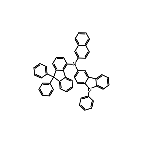 c1ccc(-n2c3ccccc3c3cc(N(c4ccc5ccccc5c4)c4cccc5c4-c4ccccc4C5(c4ccccc4)c4ccccc4)ccc32)cc1